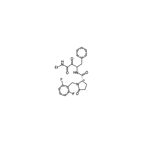 CCNC(=O)C(=O)C(Cc1ccccc1)NC(=O)[C@@H]1CCC(=O)N1Cc1c(F)cccc1F